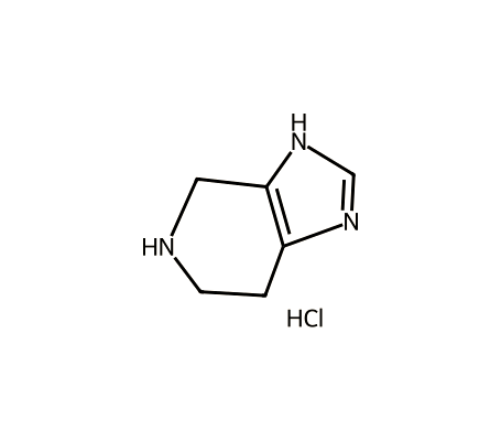 Cl.c1nc2c([nH]1)CNCC2